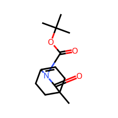 CC(C)(C)OC(=O)N1C(=O)C2(C)CC=C1CC2